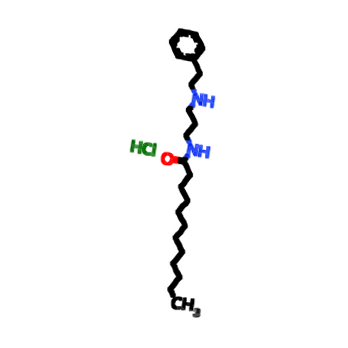 CCCCCCCCCCCC(=O)NCCCNCCc1ccccc1.Cl